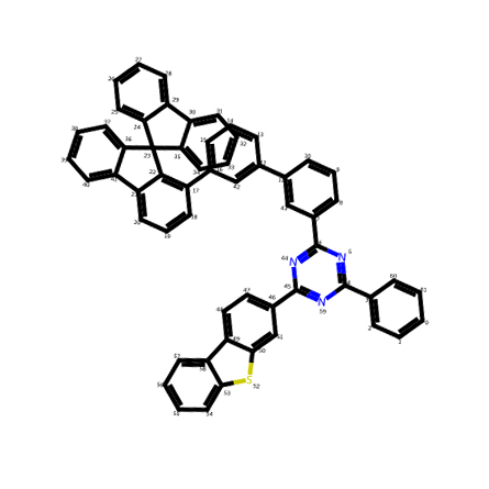 c1ccc(-c2nc(-c3cccc(-c4cccc(-c5cccc6c5C5(c7ccccc7-c7ccccc75)c5ccccc5-6)c4)c3)nc(-c3ccc4c(c3)sc3ccccc34)n2)cc1